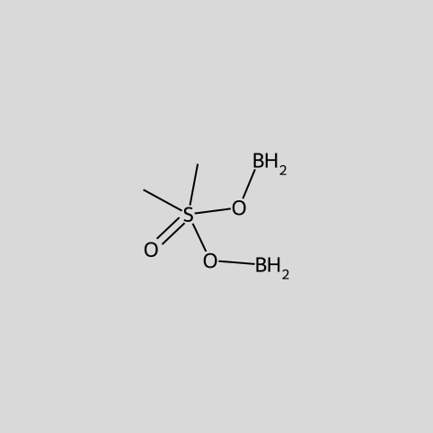 BOS(C)(C)(=O)OB